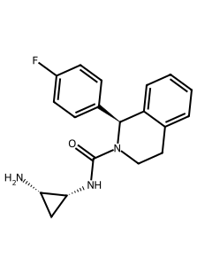 N[C@H]1C[C@H]1NC(=O)N1CCc2ccccc2[C@@H]1c1ccc(F)cc1